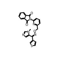 Cn1cncc1/C(=N\OCc1cccc(N2C(=O)c3ccccc3C2=O)n1)c1ccsc1